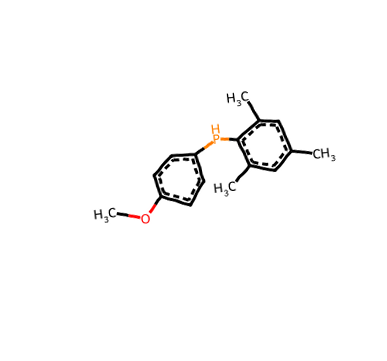 COc1ccc(Pc2c(C)cc(C)cc2C)cc1